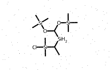 CC([SiH2]C(O[Si](C)(C)C)O[Si](C)(C)C)[Si](C)(C)Cl